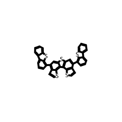 c1ccc2c(c1)sc1c(-c3cc4sc5cc(-c6cccc7c6sc6ccccc67)c6ccsc6c5c4c4sccc34)cccc12